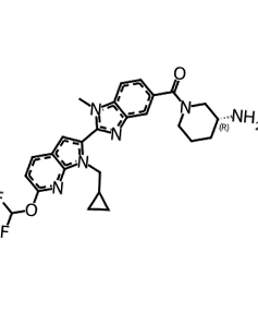 Cn1c(-c2cc3ccc(OC(F)F)nc3n2CC2CC2)nc2cc(C(=O)N3CCC[C@@H](N)C3)ccc21